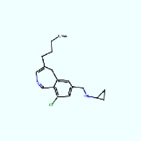 COCCCC1=CN=Cc2c(Cl)cc(CNC3CC3)cc2C1